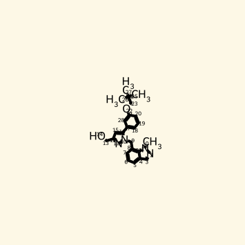 Cn1ncc2cccc(Cn3nc(CO)cc3-c3cccc(OCC(C)(C)C)c3)c21